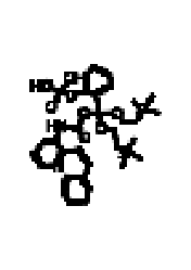 C[Si](C)(C)CCOC(OCC[Si](C)(C)C)(OC(=O)Nc1cccnc1C=Cc1ccccc1)c1ccccc1OP(=O)(O)O